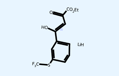 CCOC(=O)C(=O)/C=C(\O)c1cccc(SC(F)(F)F)c1.[LiH]